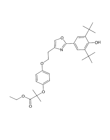 CCOC(=O)C(C)(C)Oc1ccc(OCCc2coc(-c3cc(C(C)(C)C)c(O)c(C(C)(C)C)c3)n2)cc1